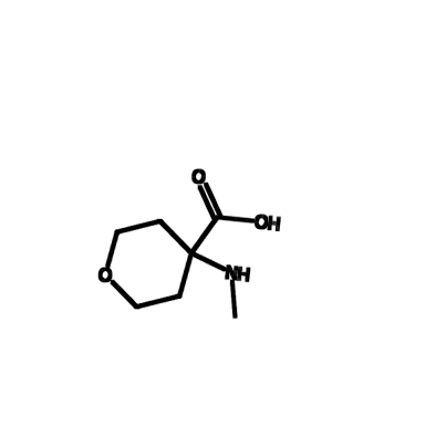 CNC1(C(=O)O)CCOCC1